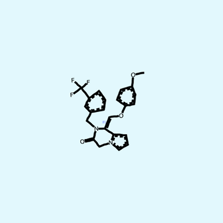 COc1ccc(O/C=C2\c3cccn3CC(=O)N2Cc2cccc(C(F)(F)F)c2)cc1